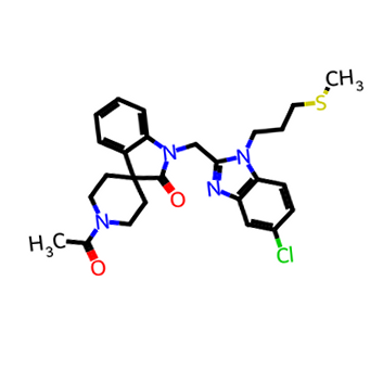 CSCCCn1c(CN2C(=O)C3(CCN(C(C)=O)CC3)c3ccccc32)nc2cc(Cl)ccc21